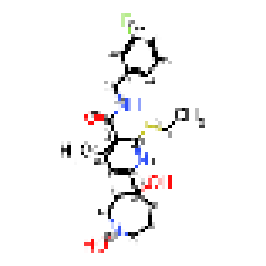 CCSc1nc(C2(O)CCCN(O)CC2)cc(C)c1C(=O)NCc1cccc(F)c1